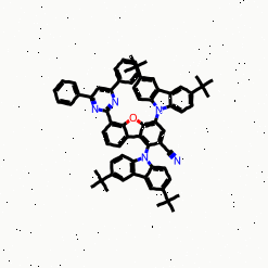 CC(C)(C)c1ccc2c(c1)c1cc(C(C)(C)C)ccc1n2-c1cc(C#N)c(-n2c3ccc(C(C)(C)C)cc3c3cc(C(C)(C)C)ccc32)c2c1oc1c(-c3nc(-c4ccccc4)cc(-c4ccccc4)n3)cccc12